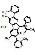 C[C](C)=[Zr+2]([C]1=CC=CC1)[CH]1c2cc(-c3ccccc3C)c(C(C)(C)C)cc2-c2cc(C(C)(C)C)c(-c3ccccc3C)cc21.[Cl-].[Cl-]